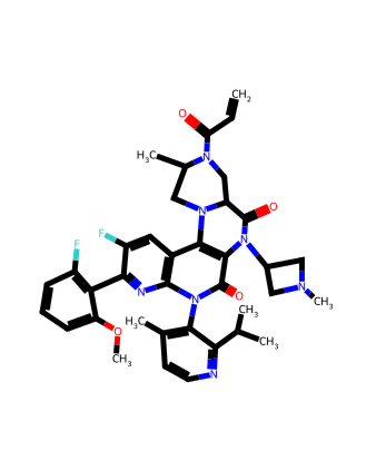 C=CC(=O)N1CC2C(=O)N(C3CN(C)C3)c3c(c4cc(F)c(-c5c(F)cccc5OC)nc4n(-c4c(C)ccnc4C(C)C)c3=O)N2CC1C